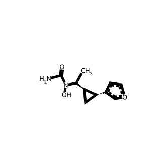 CC([C@@H]1C[C@H]1c1ccoc1)N(O)C(N)=O